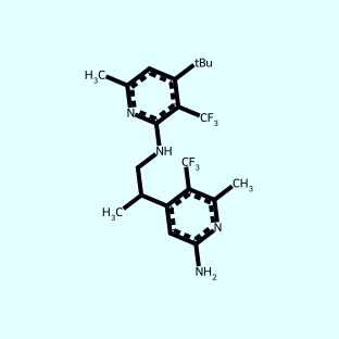 Cc1cc(C(C)(C)C)c(C(F)(F)F)c(NCC(C)c2cc(N)nc(C)c2C(F)(F)F)n1